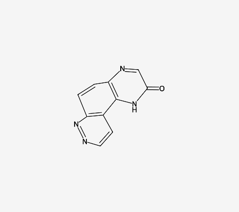 O=c1cnc2ccc3nnccc3c2[nH]1